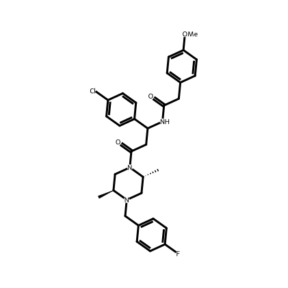 COc1ccc(CC(=O)NC(CC(=O)N2C[C@H](C)N(Cc3ccc(F)cc3)C[C@H]2C)c2ccc(Cl)cc2)cc1